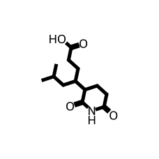 CC(C)CC(CCC(=O)O)C1CCC(=O)NC1=O